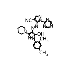 Cc1ccc(-n2nc(N3CCCCC3)c(N=Nc3c(C#N)cnn3-c3ncncn3)c2O)c(C)c1